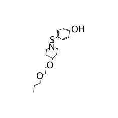 CCCOCCOC1CCN(Sc2ccc(O)cc2)CC1